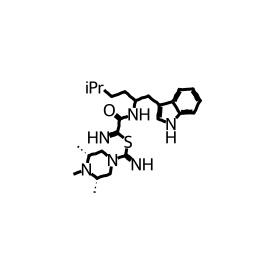 CC(C)CCC(Cc1c[nH]c2ccccc12)NC(=O)C(=N)SC(=N)N1C[C@@H](C)N(C)[C@@H](C)C1